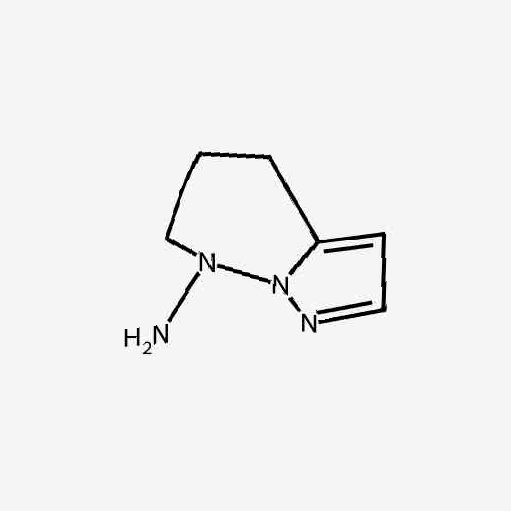 NN1CCCc2ccnn21